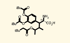 CCC(C)C(=O)Oc1ccc(C(C(C)C(C)OC(=O)CC(C)(C)C)[C@H](N)C(=O)O)cc1OC(=O)C(C)CC